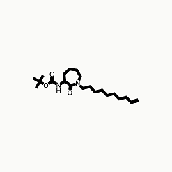 C=CCCCCCCCCN1CCCCC(NC(=O)OC(C)(C)C)C1=O